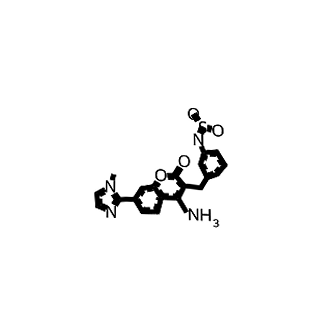 Cc1c(Cc2cccc(N=S(=O)=O)c2)c(=O)oc2cc(-c3nccn3C)ccc12.N